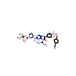 CC(C)n1c(=O)c(-c2ccc(NS(=O)(=O)Cc3ccc(C#N)cc3)c(F)c2)nc2cnc(N[C@H]3C[C@H](F)CN(C(=O)OC(C)(C)C)C3)nc21